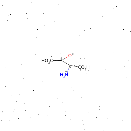 NC1(C(=O)O)OC1C(=O)O